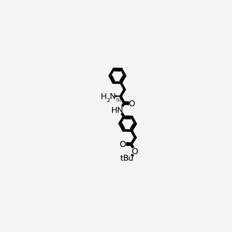 CC(C)(C)OC(=O)Cc1ccc(NC(=O)[C@@H](N)Cc2ccccc2)cc1